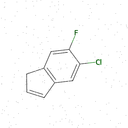 Fc1cc2c(cc1Cl)C=CC2